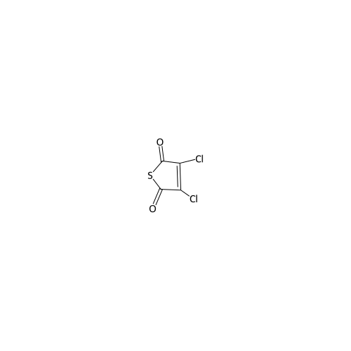 O=C1SC(=O)C(Cl)=C1Cl